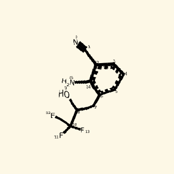 N#Cc1cccc(CC(O)C(F)(F)F)c1N